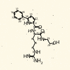 N=C(N)NCCCC(NC(=O)c1ccc(-c2ccccc2)[nH]1)C(=O)NCCO